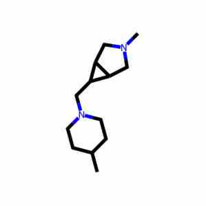 CC1CCN(CC2C3CN(C)CC32)CC1